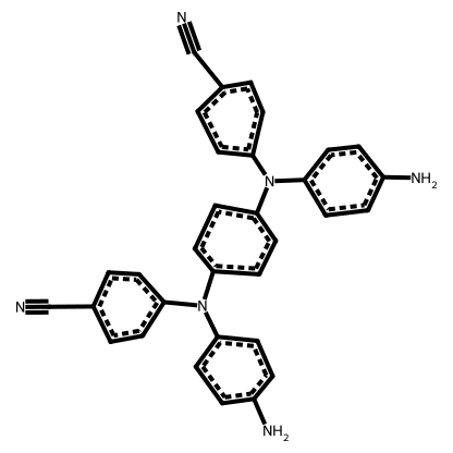 N#Cc1ccc(N(c2ccc(N)cc2)c2ccc(N(c3ccc(N)cc3)c3ccc(C#N)cc3)cc2)cc1